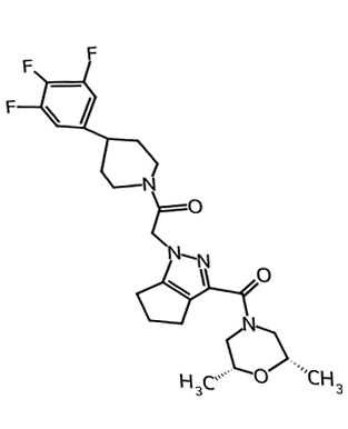 C[C@@H]1CN(C(=O)c2nn(CC(=O)N3CCC(c4cc(F)c(F)c(F)c4)CC3)c3c2CCC3)C[C@H](C)O1